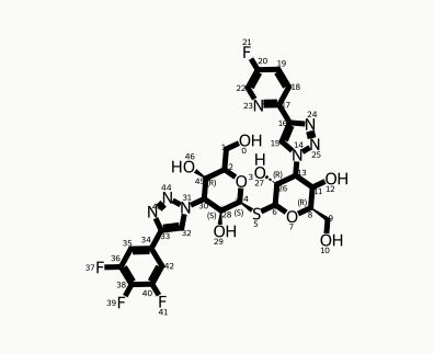 OCC1O[C@@H](SC2O[C@H](CO)C(O)C(n3cc(-c4ccc(F)cn4)nn3)[C@H]2O)[C@@H](O)C(n2cc(-c3cc(F)c(F)c(F)c3)nn2)[C@H]1O